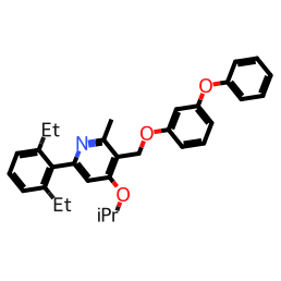 CCc1cccc(CC)c1-c1cc(OC(C)C)c(COc2cccc(Oc3ccccc3)c2)c(C)n1